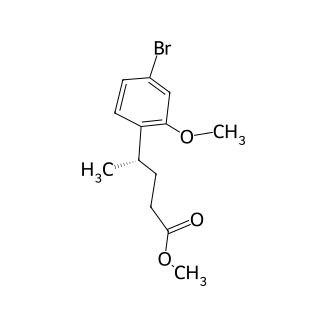 COC(=O)CC[C@H](C)c1ccc(Br)cc1OC